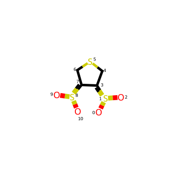 O=S(=O)=C1CSCC1=S(=O)=O